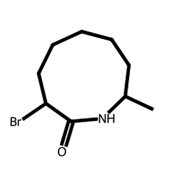 CC1CCCCCC(Br)C(=O)N1